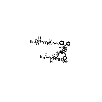 CCC(=O)NCCNC(=O)/N=C(/N)NCCCC[C@@H](NC(=O)C(c1ccccc1)c1cccc(NCCCNC(=O)CCOCCNC(=O)OC(C)(C)C)c1)C(=O)NCc1ccc(O)cc1